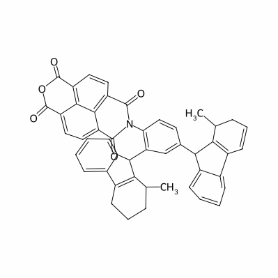 CC1CC=CC2=C1C(c1ccc(N3C(=O)c4ccc5c6c(ccc(c46)C3=O)C(=O)OC5=O)c(C3C4=C(CCCC4C)c4ccccc43)c1)c1ccccc12